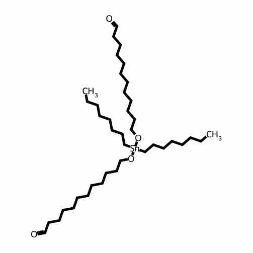 CCCCCCC[CH2][Sn]([CH2]CCCCCCC)([O]CCCCCCCCCCCC=O)[O]CCCCCCCCCCCC=O